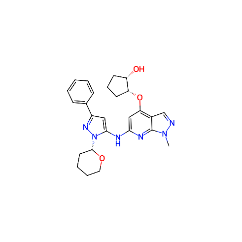 Cn1ncc2c(O[C@@H]3CCC[C@@H]3O)cc(Nc3cc(-c4ccccc4)nn3[C@H]3CCCCO3)nc21